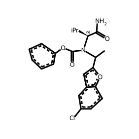 CC(C)[C@@H](C(N)=O)N(C(=O)Oc1ccccc1)C(C)c1cc2cc(Cl)ccc2o1